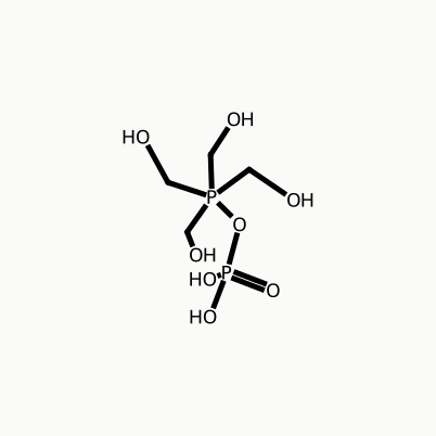 O=P(O)(O)OP(CO)(CO)(CO)CO